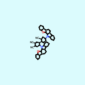 N#Cc1cc(-c2ccc(-n3c4ccccc4c4ccc5c6ccccc6oc5c43)cc2C#N)c(-n2c3ccccc3c3ccc4c5ccccc5oc4c32)cc1C#N